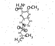 COc1cc2c(cc1C(N)=O)CN(S(=O)(=O)CC(C)C)CC2